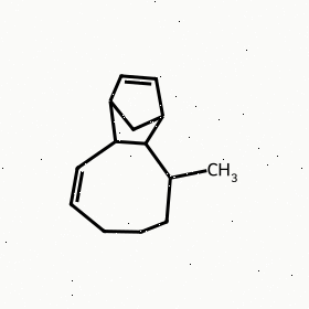 CC1CCC/C=C\C2C3C=CC(C3)C12